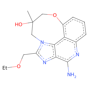 CCOCc1nc2c(N)nc3cccc4c3c2n1CC(C)(O)CO4